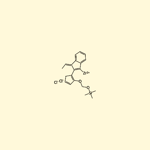 CC=C1C(C2=C(OCO[Si](C)(C)C)C=CC2)=[C]([Zr+2])c2ccccc21.[Cl-].[Cl-]